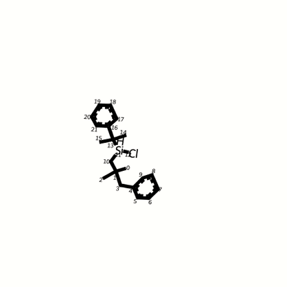 CC(C)(Cc1ccccc1)C[SiH](Cl)C(C)(C)c1ccccc1